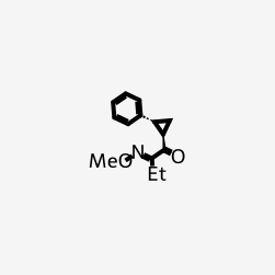 CCC(=NOC)C(=O)[C@@H]1C[C@H]1c1ccccc1